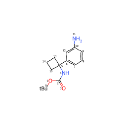 CC(C)(C)OC(=O)NC1(c2cccc(N)c2)CCC1